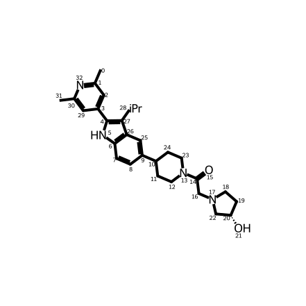 Cc1cc(-c2[nH]c3ccc(C4CCN(C(=O)CN5CC[C@H](O)C5)CC4)cc3c2C(C)C)cc(C)n1